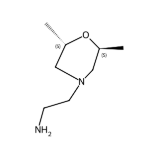 C[C@H]1CN(CCN)C[C@H](C)O1